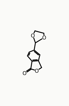 O=C1OCc2cc(C3OCCO3)ccc21